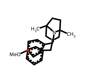 COc1ccc(CN2C3(C)CCC2(C)CN(Cc2ccccc2)C3)cc1